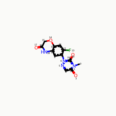 Cn1c(=O)cnn(-c2cc3c(cc2F)OCC(=O)N3)c1=O